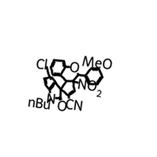 CCCCN1C(=O)C2(C(C#N)=CC3([N+](=O)[O-])C(c4ccccc4OC)Oc4ccccc4C23)c2cc(Cl)ccc21